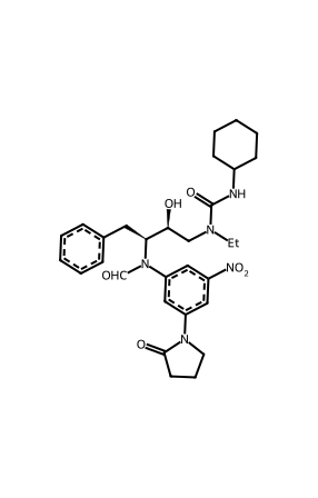 CCN(C[C@H](O)[C@H](Cc1ccccc1)N(C=O)c1cc(N2CCCC2=O)cc([N+](=O)[O-])c1)C(=O)NC1CCCCC1